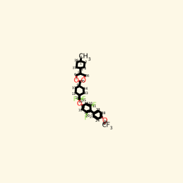 CC1CCC(C2COC(C3CCC(C(F)(F)Oc4cc(F)c(-c5ccc(OC(F)(F)F)cc5)c(F)c4)CC3)OC2)CC1